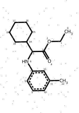 CCOC(=O)C(Nc1cccc(C)c1)C1CCCCC1